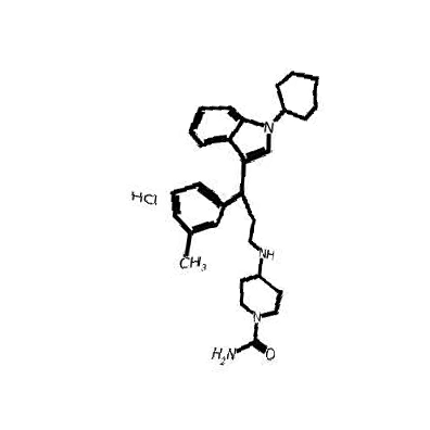 Cc1cccc(C(CCNC2CCN(C(N)=O)CC2)c2cn(C3CCCCC3)c3ccccc23)c1.Cl